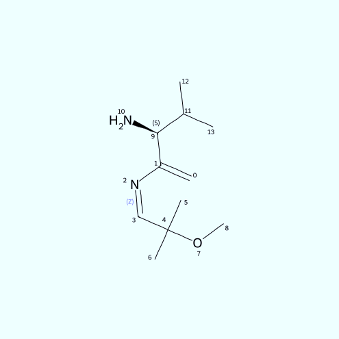 C=C(/N=C\C(C)(C)OC)[C@@H](N)C(C)C